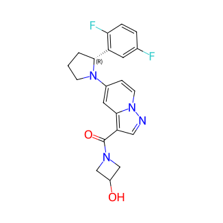 O=C(c1cnn2ccc(N3CCC[C@@H]3c3cc(F)ccc3F)cc12)N1CC(O)C1